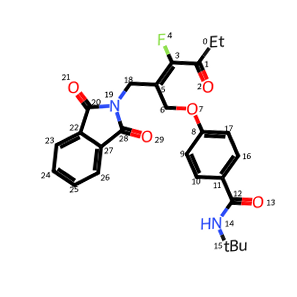 CCC(=O)/C(F)=C(\COc1ccc(C(=O)NC(C)(C)C)cc1)CN1C(=O)c2ccccc2C1=O